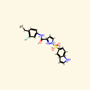 CC(C)Cc1ccc(NC(=O)c2ccn(S(=O)(=O)c3ccc4[nH]ccc4c3)n2)cc1F